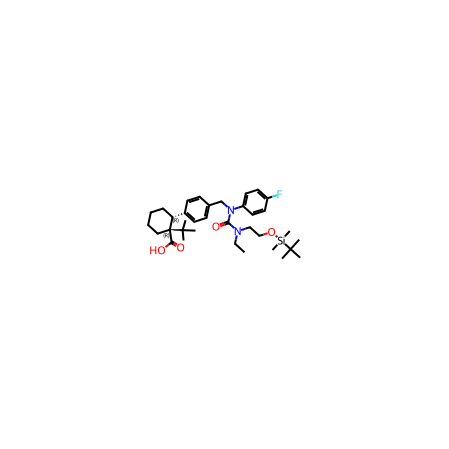 CCN(CCO[Si](C)(C)C(C)(C)C)C(=O)N(Cc1ccc([C@H]2CCCC[C@]2(C(=O)O)C(C)(C)C)cc1)c1ccc(F)cc1